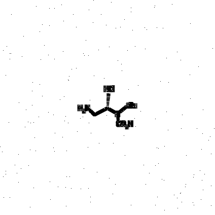 C[C@@H](CN)N(C(=O)O)C(C)(C)C.Cl